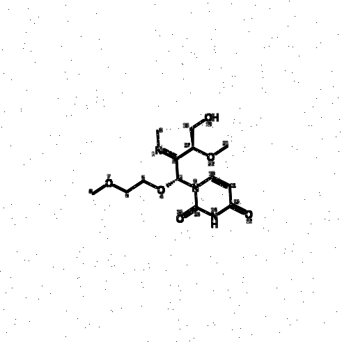 C/N=C(/[C@@H](OCCOC)n1ccc(=O)[nH]c1=O)[C@@H](CO)OC